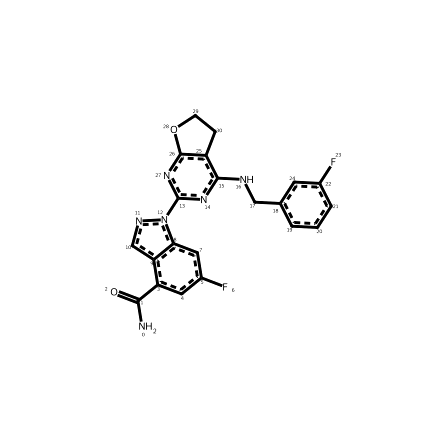 NC(=O)c1cc(F)cc2c1cnn2-c1nc(NCc2cccc(F)c2)c2c(n1)OCC2